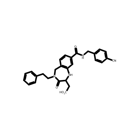 N#Cc1ccc(CNC(=O)c2ccc3c(c2)NC(CC(=O)O)C(=O)N(CCc2ccccc2)C3)cc1